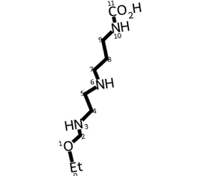 CCOCNCCNCCCNC(=O)O